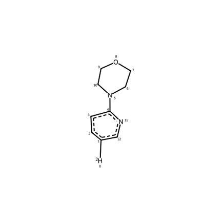 [2H]c1ccc(N2CCOCC2)nc1